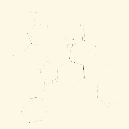 CCOC(=O)C1=C(C)NC(=O)NC1c1cn(-c2ccccc2)nc1-c1c(C)cc(C)cc1C